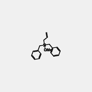 C=CC[Si](Cc1ccccc1)(Cc1ccccc1)OC